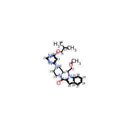 COCCn1c(C(=O)N2CCN(c3cc(OCC(C)C)ncn3)CC2)cc2ccccc21